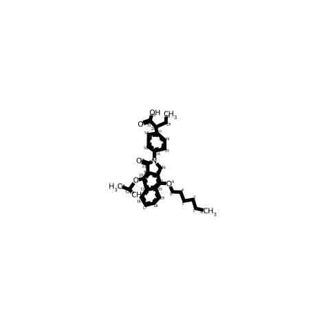 CCCCCCOc1c2c(c(OC(C)C)c3ccccc13)C(=O)N(c1ccc(C(CC)C(=O)O)cc1)C2